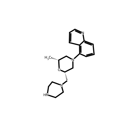 C[C@@H]1CN(c2cccc3ncccc23)C[C@H](CN2CCNCC2)O1